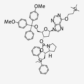 COc1ccc(C(OC[C@H]2O[C@@H](n3cnc4c(OCC[Si](C)(C)C)ncnc43)C[C@@H]2OP2O[C@H](C[Si](C)(c3ccccc3)c3ccccc3)[C@@H]3CCCN32)(c2ccccc2)c2ccc(OC)cc2)cc1